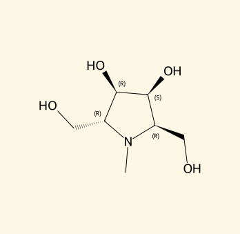 CN1[C@H](CO)[C@H](O)[C@H](O)[C@H]1CO